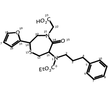 CCOC(=O)N(CCCc1ccccc1)C1CSC(c2ccco2)CN(CC(=O)O)C1=O